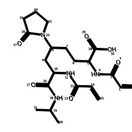 C=CC(=O)NC(CCC(CC(NC(=O)C=C)C(=O)NC(C)C)N1CCCC1=O)C(=O)O